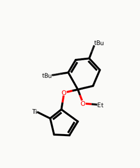 CCOC1(OC2=[C]([Ti])CC=C2)CC=C(C(C)(C)C)C=C1C(C)(C)C